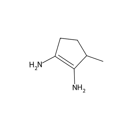 CC1CCC(N)=C1N